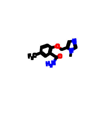 Cn1cncc1COc1ccc(C(F)(F)F)cc1C(N)=O